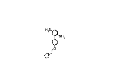 Nc1ccc(N)c(-c2ccc(OCCN3CCCC3)cc2)c1